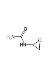 NC(=O)NC1CO1